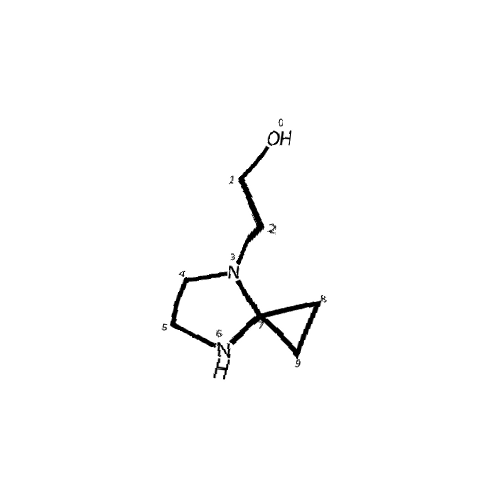 OCCN1CCNC12CC2